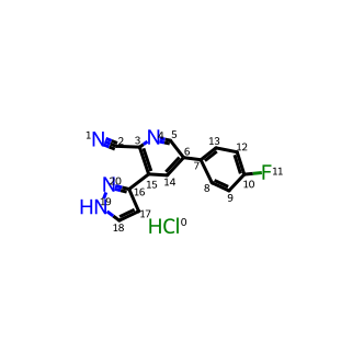 Cl.N#Cc1ncc(-c2ccc(F)cc2)cc1-c1cc[nH]n1